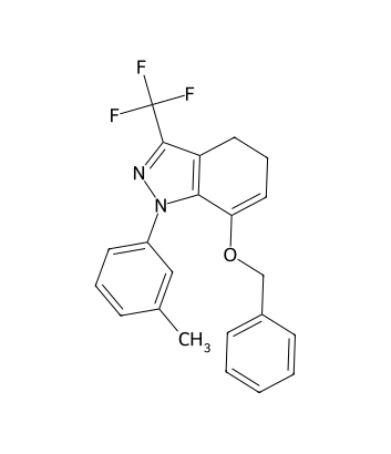 Cc1cccc(-n2nc(C(F)(F)F)c3c2C(OCc2ccccc2)=CCC3)c1